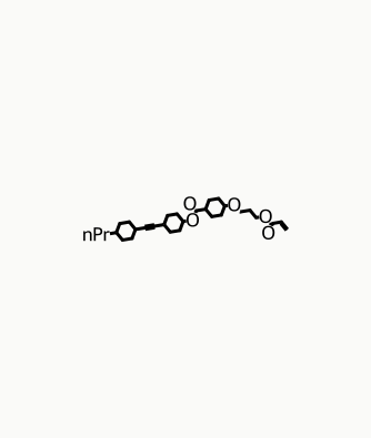 C=CC(=O)OCCCOC1CCC(C(=O)OC2CCC(C#CC3CCC(CCC)CC3)CC2)CC1